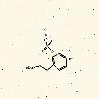 CCCCCCCCCCCCc1ccccc1.O=P([O-])([O-])[O-].[K+].[K+].[K+]